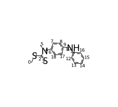 CSC(=S)N(C)c1ccc(Nc2ccccc2)cc1